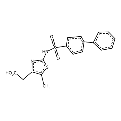 Cc1sc(NS(=O)(=O)c2ccc(-c3ccccc3)cc2)nc1CC(=O)O